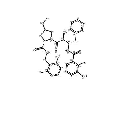 CO[C@@H]1C[C@@H](C(=O)NCc2c(C)cccc2Cl)N(C(=O)[C@@H](O)[C@H](Cc2ccccc2)NC(=O)c2cccc(O)c2C)C1